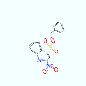 O=[N+]([O-])c1cc(S(=O)(=O)OCc2ccccc2)c2ccccc2n1